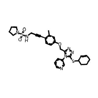 Cc1cc(OCc2nnc(SC3C=CCCC3)n2-c2cccnc2)ccc1C#CCNS(=O)(=O)N1CCCC1